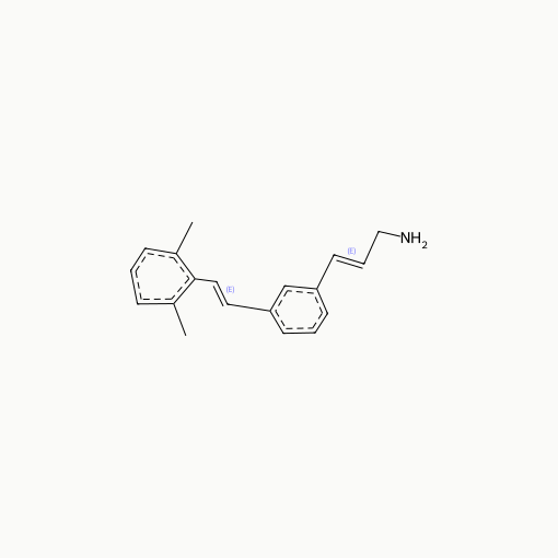 Cc1cccc(C)c1/C=C/c1cccc(/C=C/CN)c1